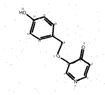 O=C1C=CN=CC1OCc1ccc(O)cc1